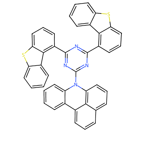 c1ccc2c(c1)-c1cccc3cccc(c13)N2c1nc(-c2cccc3sc4ccccc4c23)nc(-c2cccc3sc4ccccc4c23)n1